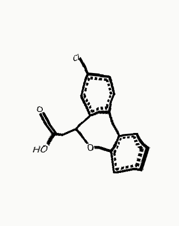 O=C(O)C1Oc2ccccc2-c2ccc(Cl)cc21